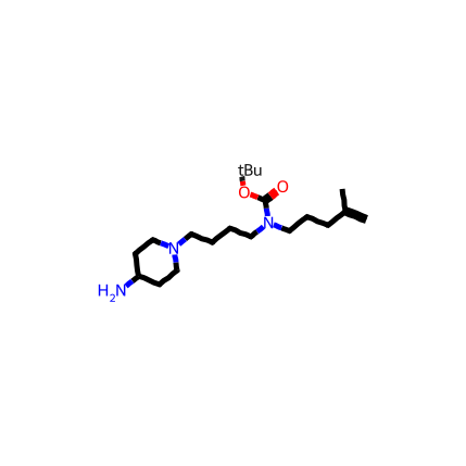 C=C(C)CCCN(CCCCN1CCC(N)CC1)C(=O)OC(C)(C)C